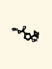 CC(C)(C)OC(=O)N1CCC(O)(C23CN2C3)C1